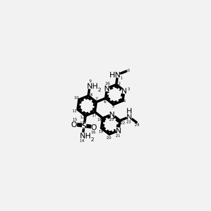 CNc1nccc(-c2c(N)ccc(S(N)(=O)=O)c2-c2ccnc(NC)n2)n1